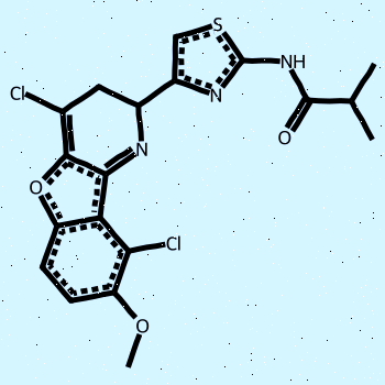 COc1ccc2oc3c(c2c1Cl)=NC(c1csc(NC(=O)C(C)C)n1)CC=3Cl